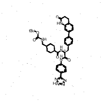 CC(C)(C)OC(=O)NCC1CCC(C(=O)N[C@@H](Cc2ccc(-c3ccc4c(c3)NC(=O)CC4)cc2)C(=O)Nc2ccc(-c3nn[nH]n3)cc2)CC1